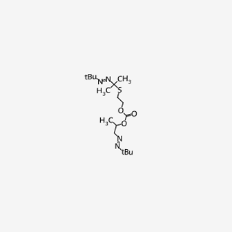 CC(CN=NC(C)(C)C)OC(=O)OCCSC(C)(C)N=NC(C)(C)C